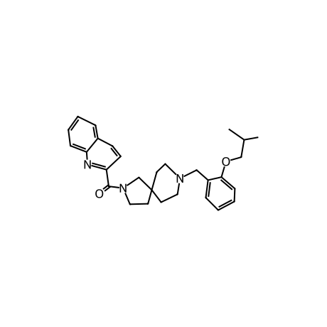 CC(C)COc1ccccc1CN1CCC2(CC1)CCN(C(=O)c1ccc3ccccc3n1)C2